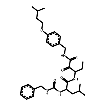 CCC(NC(=O)C(CC(C)C)NC(=O)NCc1ccccc1)C(=O)C(=O)NCc1ccc(OCCC(C)C)cc1